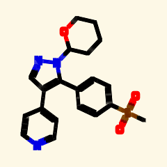 CS(=O)(=O)c1ccc(-c2c(-c3ccncc3)cnn2C2CCCCO2)cc1